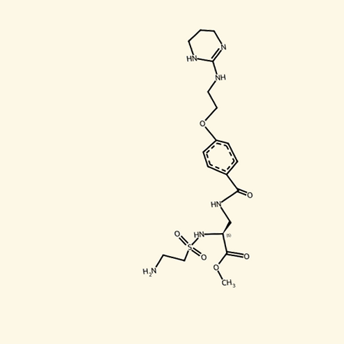 COC(=O)[C@H](CNC(=O)c1ccc(OCCNC2=NCCCN2)cc1)NS(=O)(=O)CCN